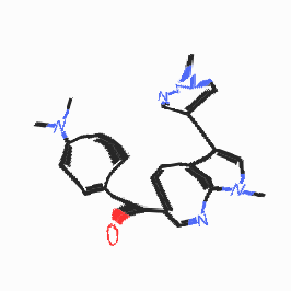 CN(C)c1ccc(C(=O)c2cnc3c(c2)c(-c2cnn(C)c2)cn3C)cc1